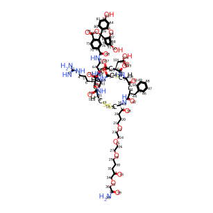 N=C(N)NCCC[C@@H]1CC(=O)[C@@H]2CSSC[C@@H](C(=O)CCCOCCOCCOCCCC(=O)COCC(N)=O)NC(=O)[C@H](Cc3ccccc3)CC(=O)[C@H](CSCC(=O)N[C@@H](CCCCNC(=O)c3ccc4c(c3)C3(OC4=O)c4ccc(O)cc4Oc4cc(O)ccc43)C(=O)N2)NC(=O)[C@H](CC(=O)O)CC(=O)CNC1=O